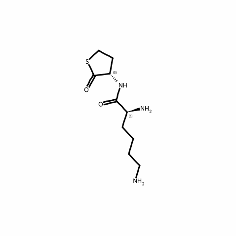 NCCCC[C@H](N)C(=O)N[C@H]1CCSC1=O